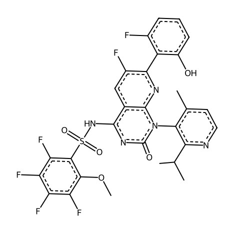 COc1c(F)c(F)c(F)c(F)c1S(=O)(=O)Nc1nc(=O)n(-c2c(C)ccnc2C(C)C)c2nc(-c3c(O)cccc3F)c(F)cc12